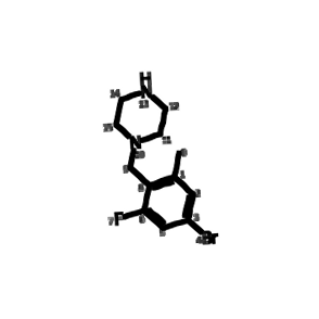 Cc1cc(Br)cc(F)c1CN1CCNCC1